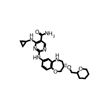 NC(=O)c1cnc(Nc2ccc3c(c2)NC[C@H](OCC2CCCCO2)CO3)nc1NC1CC1